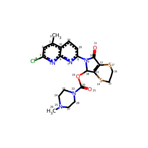 Cc1cc(Cl)nc2nc(N3C(=O)C4=C(SCCS4)C3OC(=O)N3CCN(C)CC3)ccc12